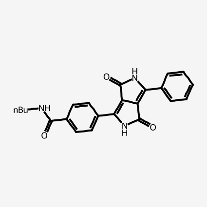 CCCCNC(=O)c1ccc(C2=C3C(=O)NC(c4ccccc4)=C3C(=O)N2)cc1